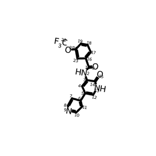 O=C(Nc1cc(-c2ccncc2)c[nH]c1=O)c1cccc(OC(F)(F)F)c1